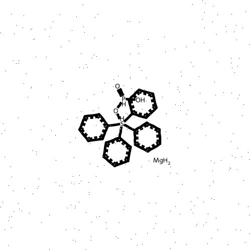 O=[PH](O)O[SH](c1ccccc1)(c1ccccc1)(c1ccccc1)c1ccccc1.[MgH2]